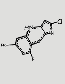 Fc1cc(Br)cc2[nH]c3cc(Cl)nc-3cc12